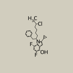 CCC(Cl)CCCCC(Cc1ccccc1)n1c(C2=CC2)cc2c(O)c(F)cc(F)c21